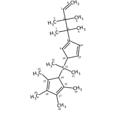 C=CC(C)(C)C(C)(C)C1=CC(S(C)(C)C2C(C)=C(C)C(C)=C2C)C=C1